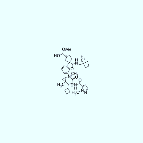 COC(O)N1CCC(C(=O)NCC2(C)CCC2)(c2cccc([N+]3(C)C(=O)[C@@H](NC(=O)c4ccnn4C)C(C4CCC4)C4(C)CC43)c2)C1